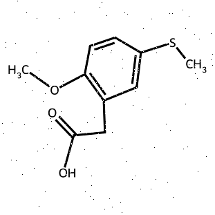 COc1ccc(SC)cc1CC(=O)O